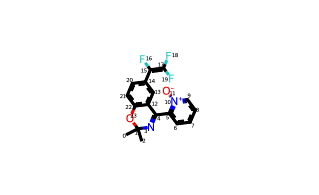 CC1(C)N=C(c2cccc[n+]2[O-])c2cc(C(F)=C(F)F)ccc2O1